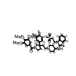 COc1cc(C(=O)N2CCC(CCN3CCC(Nc4nc5ccccc5n4CCS(C)(=O)=O)CC3)(c3ccc(F)c(F)c3)C2)cc(OC)c1OC